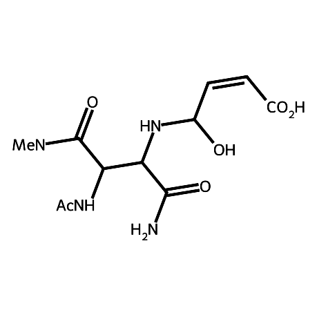 CNC(=O)C(NC(C)=O)C(NC(O)/C=C\C(=O)O)C(N)=O